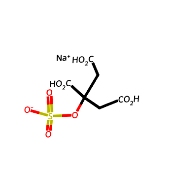 O=C(O)CC(CC(=O)O)(OS(=O)(=O)[O-])C(=O)O.[Na+]